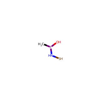 CP(O)NS